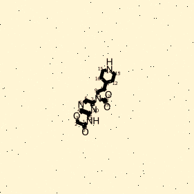 O=C1COc2ncc(N3CC(C4CCNCC4)OC3=O)nc2N1